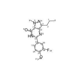 CCCc1nn(C)c2c(=O)[nH]c(-c3ccc(OC)c(F)c3)nc12